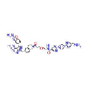 NCc1cnc(N2CCN(c3ncc(C(=O)NCCOCCC(=O)N4CCc5cc(Cn6nc(-c7ccc8oc(N)nc8c7)c7c(N)ncnc76)ccc5C4)cn3)CC2)nc1